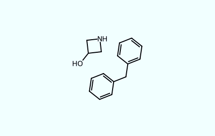 OC1CNC1.c1ccc(Cc2ccccc2)cc1